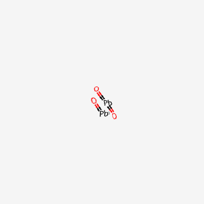 [O]=[Pb].[O]=[Pb]=[O]